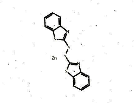 [Zn].c1ccc2sc(SSc3nc4ccccc4s3)nc2c1